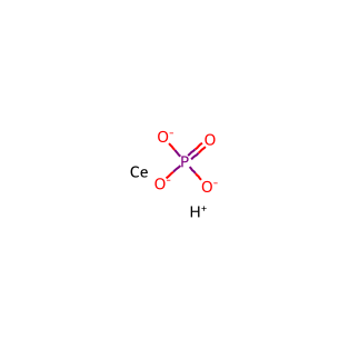 O=P([O-])([O-])[O-].[Ce].[H+]